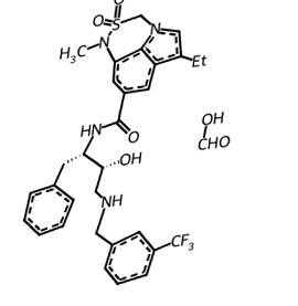 CCc1cn2c3c(cc(C(=O)N[C@@H](Cc4ccccc4)[C@H](O)CNCc4cccc(C(F)(F)F)c4)cc13)N(C)S(=O)(=O)C2.O=CO